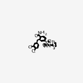 NC(=O)c1ccc(S(=O)(=O)Nc2nccs2)cc1Cc1ccc(Cl)c(Cl)c1